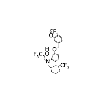 OC(CN(CC1CCCC(C(F)(F)F)C1)c1cccc(OCc2cccc(OC(F)(F)F)c2)c1)C(F)(F)F